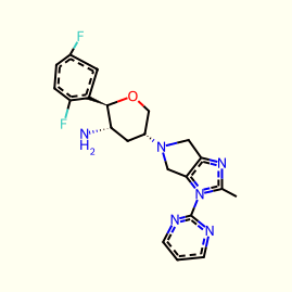 Cc1nc2c(n1-c1ncccn1)CN([C@H]1CO[C@H](c3cc(F)ccc3F)[C@@H](N)C1)C2